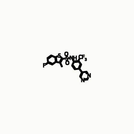 Cc1c(S(=O)(=O)Nc2ccc(-c3cncnc3)cc2C(F)(F)F)sc2ccc(F)cc12